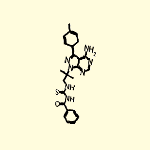 CC1=CCC(c2nn(C(C)(C)CNC(=S)NC(=O)c3ccccc3)c3ncnc(N)c23)C=C1